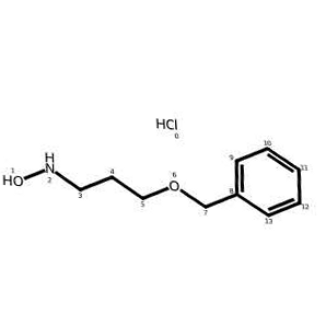 Cl.ONCCCOCc1ccccc1